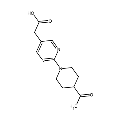 CC(=O)C1CCN(c2ncc(CC(=O)O)cn2)CC1